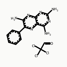 Nc1nc(N)c2nc(-c3ccccc3)c(N)nc2n1.O=CC(Cl)(Cl)Cl